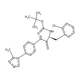 Cn1cncc1-c1ccc(NC(=O)[C@H](Cc2ccccc2Cl)NC(=O)OC(C)(C)C)cc1